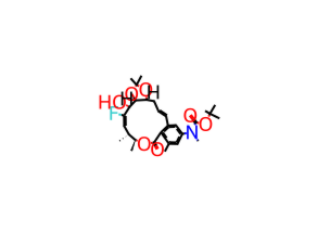 Cc1cc(N(C)C(=O)OC(C)(C)C)cc2c1C(=O)O[C@@H](C)[C@H](C)/C=C(/F)[C@@H](O)[C@H]1OC(C)(C)O[C@H]1C/C=C/2